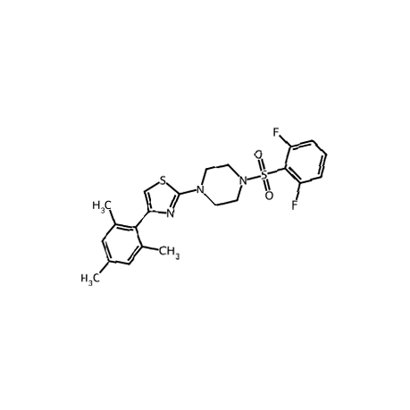 Cc1cc(C)c(-c2csc(N3CCN(S(=O)(=O)c4c(F)cccc4F)CC3)n2)c(C)c1